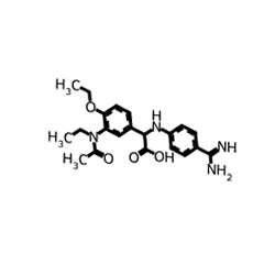 CCOc1ccc(C(Nc2ccc(C(=N)N)cc2)C(=O)O)cc1N(CC)C(C)=O